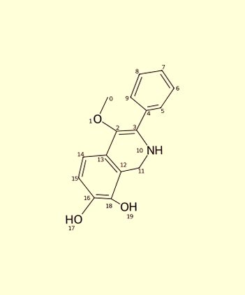 COC1=C(c2ccccc2)NCc2c1ccc(O)c2O